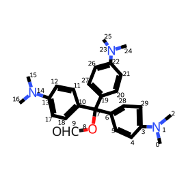 CN(C)c1ccc(C(OC=O)(c2ccc(N(C)C)cc2)c2ccc(N(C)C)cc2)cc1